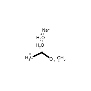 CC[O-].O.O.O.[Na+]